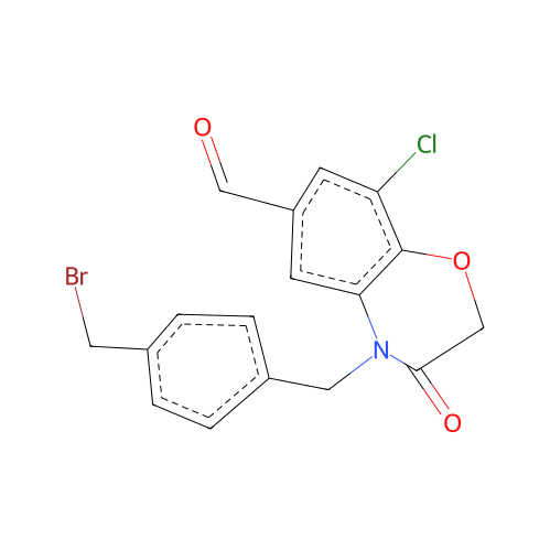 O=Cc1cc(Cl)c2c(c1)N(Cc1ccc(CBr)cc1)C(=O)CO2